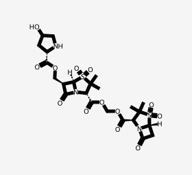 CC1(C)[C@H](C(=O)OCOC(=O)[C@@H]2N3C(=O)[C@@H](COC(=O)[C@@H]4CC(O)CN4)[C@H]3S(=O)(=O)C2(C)C)N2C(=O)C[C@H]2S1(=O)=O